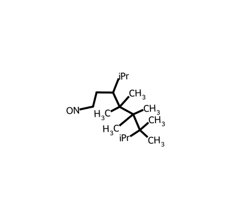 CC(C)C(CCN=O)C(C)(C)C(C)(C)C(C)(C)C(C)C